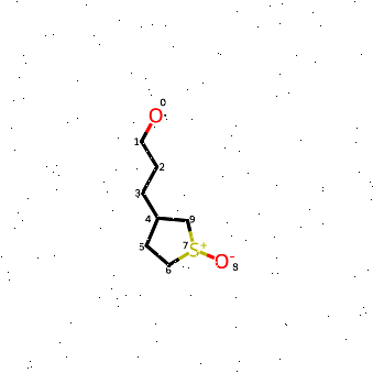 [O]CCCC1CC[S+]([O-])C1